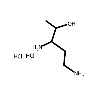 CC(O)C(N)CCN.Cl.Cl